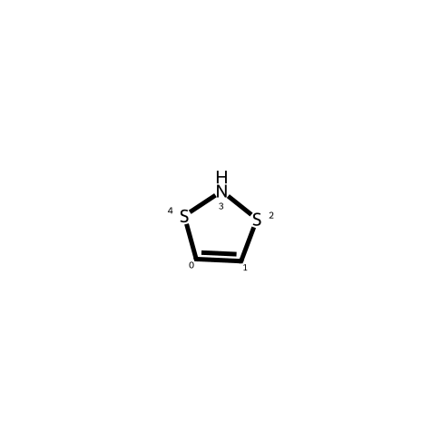 C1=CSNS1